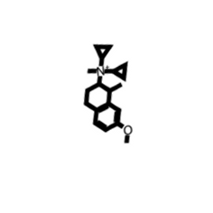 COc1ccc2c(c1)C(C)C([N+](C)(C1CC1)C1CC1)CC2